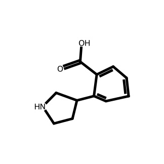 O=C(O)c1ccccc1C1CCNC1